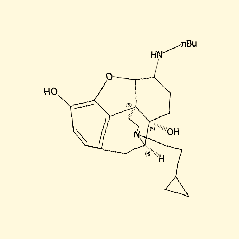 CCCCNC1CC[C@@]2(O)[C@H]3Cc4ccc(O)c5c4[C@@]2(CCN3CC2CC2)C1O5